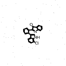 O=C1C(c2ccccc2-c2c[nH]c3c(Cl)cccc23)=Nc2ccccc21